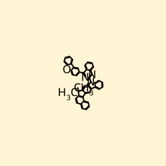 CC1(C)c2cc3c(cc2-c2c1ccc1ccccc21)c1ccccc1n3-c1nc(-c2ccc3oc4ccccc4c3c2)c2ccccc2n1